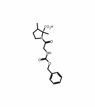 CC1CCN(C(=O)CNC(=O)OCc2ccccc2)[C@]1(C)C(=O)O